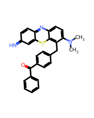 CN(C)c1ccc2nc3ccc(=N)cc-3sc2c1Cc1ccc(C(=O)c2ccccc2)cc1